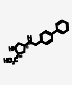 O=C(O)[C@@H]1C[C@H](NCc2ccc(-c3ccccc3)cc2)CN1